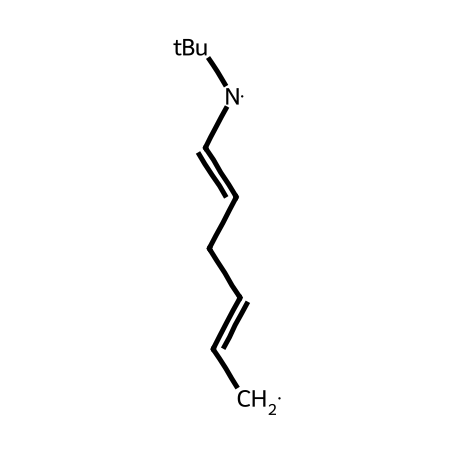 [CH2]C=CCC=C[N]C(C)(C)C